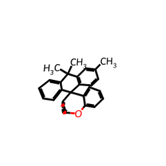 Cc1ccc2c(c1)C(C)(C)c1ccccc1C21c2ccccc2Oc2ccccc21